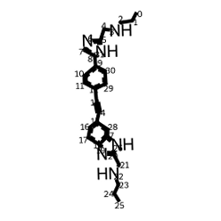 CCCNCc1ncc(-c2ccc(C#Cc3ccc4nc(CNCCC)[nH]c4c3)cc2)[nH]1